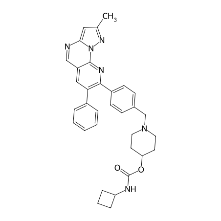 Cc1cc2ncc3cc(-c4ccccc4)c(-c4ccc(CN5CCC(OC(=O)NC6CCC6)CC5)cc4)nc3n2n1